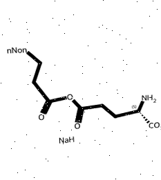 CCCCCCCCCCCC(=O)OC(=O)CC[C@H](N)C(=O)O.[NaH]